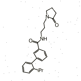 CC(C)c1ccccc1-c1cccc(C(=O)NCCCN2CCCC2=O)c1